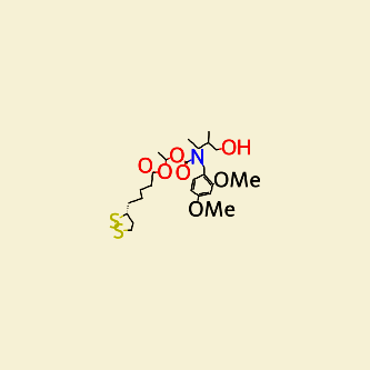 COc1ccc(CN(C(=O)OC(C)OC(=O)CCCC[C@@H]2CCSS2)C(C)C(C)CO)c(OC)c1